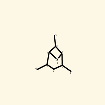 CC1CC(C)C2SC1C2C